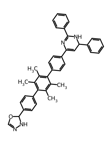 Cc1c(C)c(-c2ccc(C3NN=CO3)cc2)c(C)c(C)c1-c1ccc(C2=CC(c3ccccc3)NC(c3ccccc3)=N2)cc1